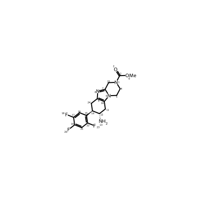 COC(=O)N1CCn2c(nc3c2C[C@H](N)[C@@H](c2cc(F)c(F)cc2F)C3)C1